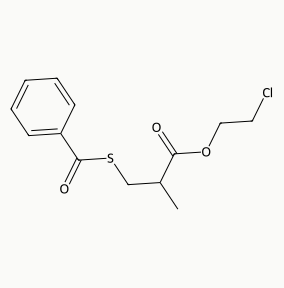 CC(CSC(=O)c1ccccc1)C(=O)OCCCl